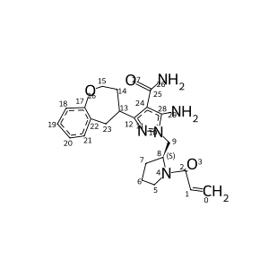 C=CC(=O)N1CCC[C@H]1Cn1nc(C2CCOc3ccccc3C2)c(C(N)=O)c1N